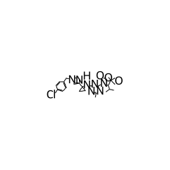 Cc1nc(NC2(c3cn(Cc4ccc(Cl)cc4)cn3)CC2)nc(N2C(=O)OC3(COC3)C2C(C)C)n1